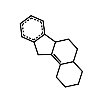 c1ccc2c(c1)CC1=C3CCCCC3CCC12